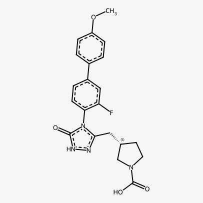 COc1ccc(-c2ccc(-n3c(C[C@@H]4CCN(C(=O)O)C4)n[nH]c3=O)c(F)c2)cc1